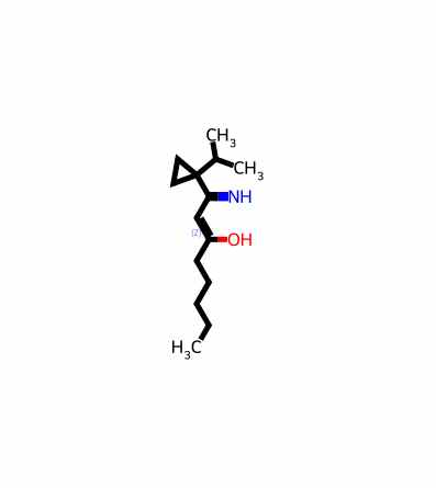 CCCCC/C(O)=C/C(=N)C1(C(C)C)CC1